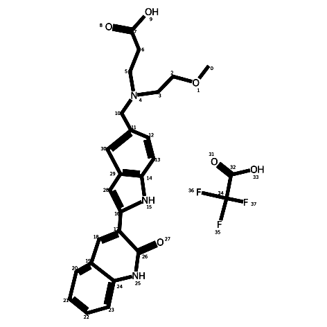 COCCN(CCC(=O)O)Cc1ccc2[nH]c(-c3cc4ccccc4[nH]c3=O)cc2c1.O=C(O)C(F)(F)F